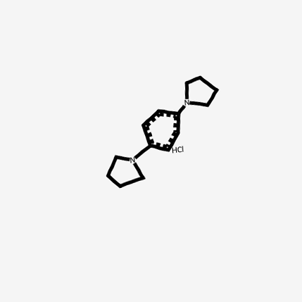 Cl.c1cc(N2CCCC2)ccc1N1CCCC1